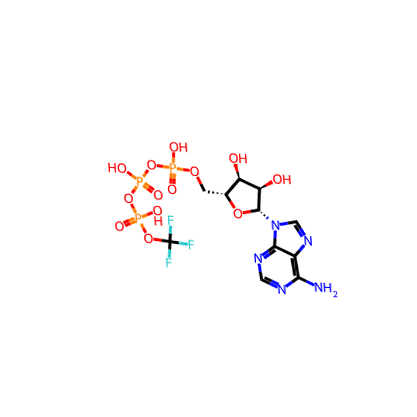 Nc1ncnc2c1ncn2[C@@H]1O[C@H](COP(=O)(O)OP(=O)(O)OP(=O)(O)OC(F)(F)F)[C@@H](O)[C@H]1O